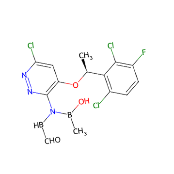 CB(O)N(BC=O)c1nnc(Cl)cc1O[C@@H](C)c1c(Cl)ccc(F)c1Cl